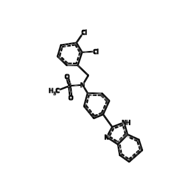 CS(=O)(=O)N(Cc1cccc(Cl)c1Cl)c1ccc(-c2nc3ccccc3[nH]2)cc1